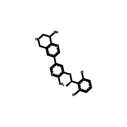 C[C@@H](Oc1cc(-c2cnc3c(c2)CNCC3O)cnc1N)c1c(Cl)cccc1Cl